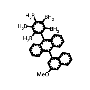 Bc1c(B)c(B)c(-c2c3ccccc3c(-c3cc(OC)cc4ccccc34)c3ccccc23)c(B)c1B